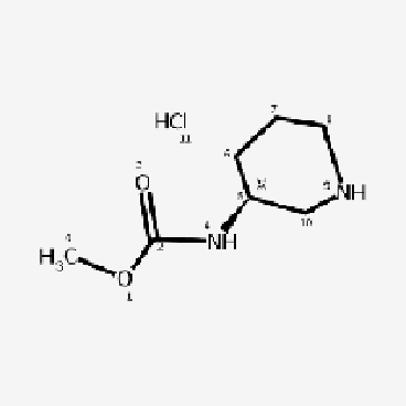 COC(=O)N[C@H]1CCCNC1.Cl